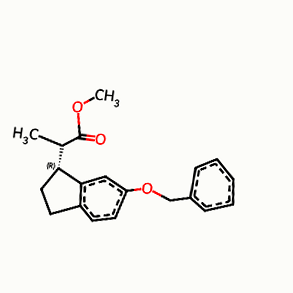 COC(=O)C(C)[C@H]1CCc2ccc(OCc3ccccc3)cc21